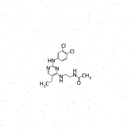 CCc1cnc(Nc2ccc(Cl)c(Cl)c2)nc1NCCNC(C)=O